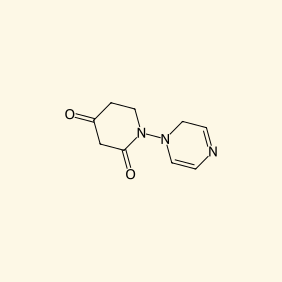 O=C1CCN(N2C=CN=CC2)C(=O)C1